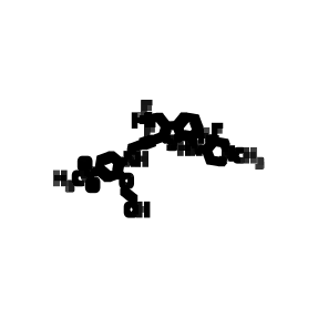 CN1CCC(Nc2cccc3c(CC(F)(F)F)c(C#CCNc4ccc(S(C)(=O)=O)cc4OCCO)sc23)C(F)(F)C1